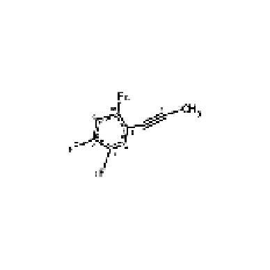 CC#Cc1cc(F)c(F)cc1F